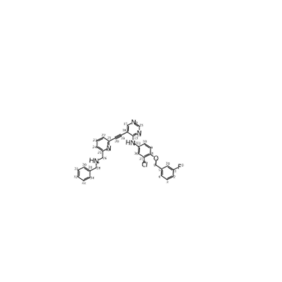 Fc1cccc(COc2ccc(Nc3ncncc3C#Cc3cccc(CNCc4ccccc4)n3)cc2Cl)c1